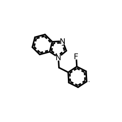 Fc1c[c]ccc1Cn1cnc2ccccc21